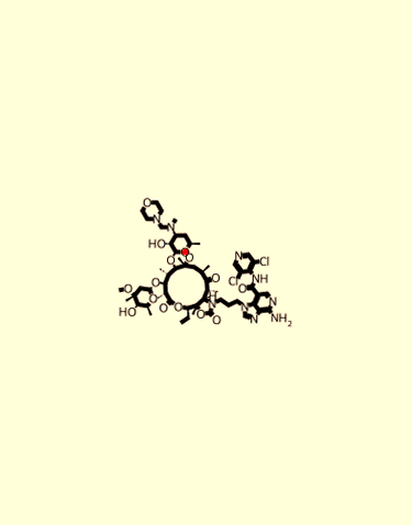 CC[C@H]1OC(=O)[C@H](C)[C@@H](O[C@H]2C[C@@](C)(OC)[C@@H](O)[C@H](C)O2)[C@H](C)[C@@H](O[C@@H]2O[C@H](C)C[C@H](N(C)CN3CCOCC3)[C@H]2O)[C@](C)(OC)C[C@@H](C)C(=O)[C@H](C)[C@H]2N(CCCn3cnc4c(N)ncc(C(=O)Nc5c(Cl)cncc5Cl)c43)C(=O)O[C@]12C